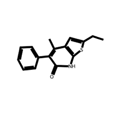 CCc1cc2c(C)c(-c3ccccc3)c(=O)[nH]c2s1